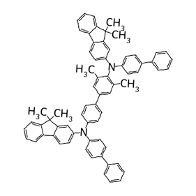 Cc1cc(-c2ccc(N(c3ccc(-c4ccccc4)cc3)c3ccc4c(c3)C(C)(C)c3ccccc3-4)cc2)cc(C)c1N(c1ccc(-c2ccccc2)cc1)c1ccc2c(c1)C(C)(C)c1ccccc1-2